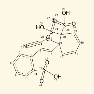 N#COC1(C=Cc2ccccc2S(=O)(=O)O)C=CC=CC1(S(=O)(=O)O)S(=O)(=O)O